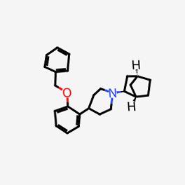 c1ccc(COc2ccccc2C2CCN([C@H]3C[C@H]4CC[C@H]3C4)CC2)cc1